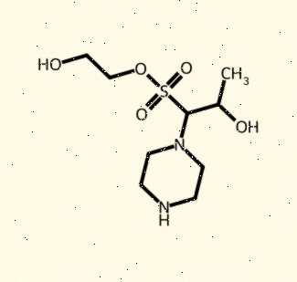 CC(O)C(N1CCNCC1)S(=O)(=O)OCCO